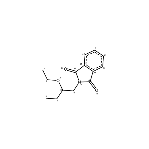 CCOC(CC)CN1C(=O)c2ccccc2C1=O